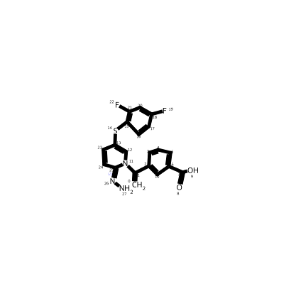 C=C(c1cccc(C(=O)O)c1)n1cc(Sc2ccc(F)cc2F)cc/c1=N/N